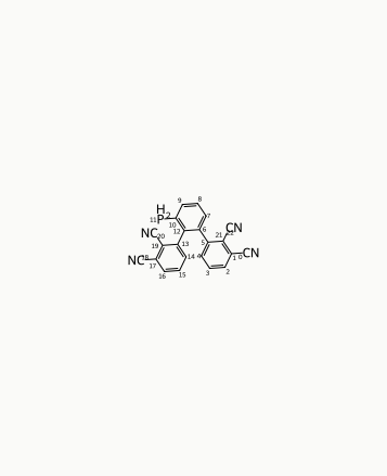 N#Cc1cccc(-c2cccc(P)c2-c2cccc(C#N)c2C#N)c1C#N